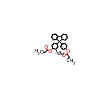 C=CC(=O)Oc1ccc(C2(c3ccc(OC(=O)C=C)c(CCCC)c3)c3ccccc3-c3ccccc32)cc1